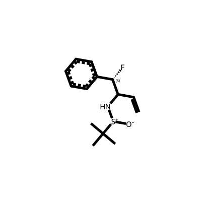 C=CC(N[S+]([O-])C(C)(C)C)[C@@H](F)c1ccccc1